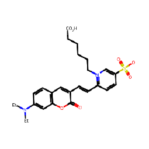 CCN(CC)c1ccc2cc(/C=C/c3ccc(S(=O)(=O)[O-])c[n+]3CCCCCC(=O)O)c(=O)oc2c1